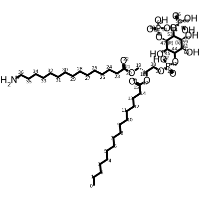 CCCCCCCCCCCCCCCC(=O)O[C@H](COC(=O)CCCCCCCCCCCCCCN)COP(=O)(O)OC1C(O)[C@@H](OP(=O)(O)O)C(OP(=O)(O)O)[C@@H](O)[C@H]1O